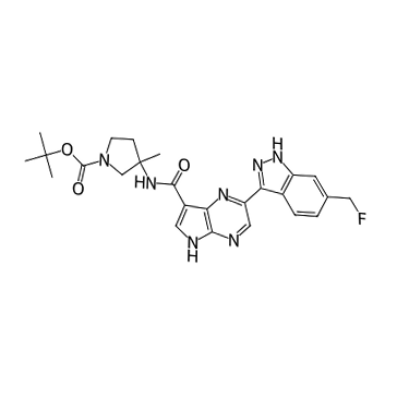 CC1(NC(=O)c2c[nH]c3ncc(-c4n[nH]c5cc(CF)ccc45)nc23)CCN(C(=O)OC(C)(C)C)C1